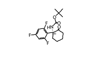 CC(C)(C)OC(=O)N[C@@]1(c2c(F)cc(F)cc2F)CCCCC1=O